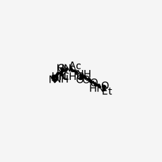 CCC(=O)NCCOCCOCC(=O)NCCC[C@H](NCC(=O)C(Cc1cnc[nH]1)NC=O)C(C)=O